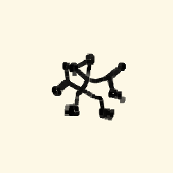 CC(=O)C(O)(CO)C1(C(C)=O)OO1